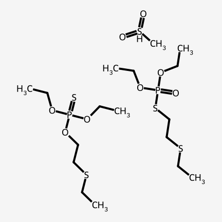 CCOP(=O)(OCC)SCCSCC.CCOP(=S)(OCC)OCCSCC.C[SH](=O)=O